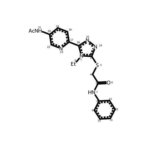 CCn1c(SCC(=O)Nc2ccccc2)nnc1-c1ccc(NC(C)=O)cn1